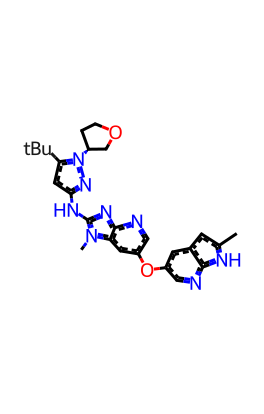 Cc1cc2cc(Oc3cnc4nc(Nc5cc(C(C)(C)C)n([C@H]6CCOC6)n5)n(C)c4c3)cnc2[nH]1